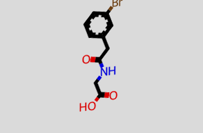 O=C(O)CNC(=O)Cc1cccc(Br)c1